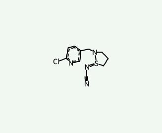 N#C/N=S1\CCCN1Cc1ccc(Cl)nc1